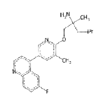 Cc1cc(-c2ccnc3ccc(F)cc23)cnc1OCC(C)(N)CC(C)C